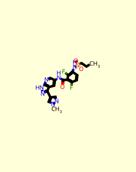 CCCS(=O)(=O)Nc1ccc(F)c(C(=O)Nc2cnc3[nH]nc(-c4cnn(C)c4)c3c2)c1F